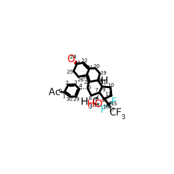 CC(=O)c1ccc([C@H]2C[C@@]3(C)C(CC[C@@]3(O)C(F)(F)C(F)(F)F)[C@@H]3CCC4=CC(=O)CCC4=C32)cc1